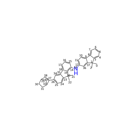 CC1(C)c2ccccc2-c2ccc(Nc3cccc4c3C(C)(C)c3ccc(C5CC6CCC5C6)cc3-4)cc21